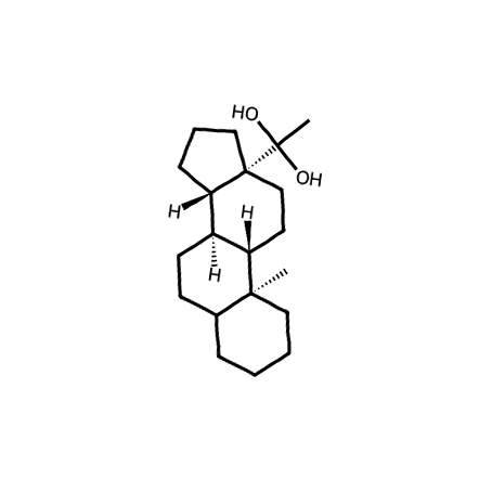 CC(O)(O)[C@@]12CCC[C@H]1[C@@H]1CCC3CCCC[C@]3(C)[C@H]1CC2